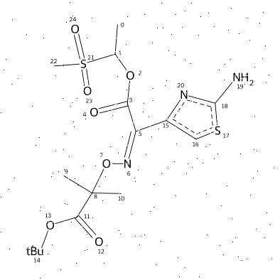 CC(OC(=O)C(=NOC(C)(C)C(=O)OC(C)(C)C)c1csc(N)n1)S(C)(=O)=O